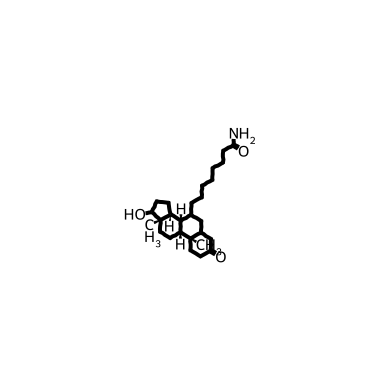 C[C@]12CCC(=O)CC1CC(CCCCCCCC(N)=O)[C@@H]1[C@H]2CC[C@]2(C)C(O)CC[C@@H]12